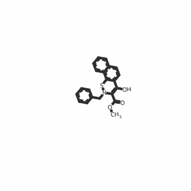 COC(=O)C1=C(O)c2ccc3ccccc3c2SN1Cc1ccccc1